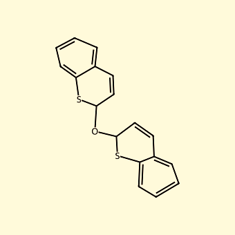 C1=CC(OC2C=Cc3ccccc3S2)Sc2ccccc21